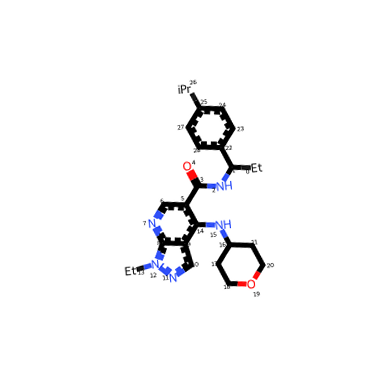 CCC(NC(=O)c1cnc2c(cnn2CC)c1NC1CCOCC1)c1ccc(C(C)C)cc1